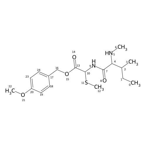 CCC(C)C(NC)C(=O)NC(SC)C(=O)OCc1ccc(OC)cc1